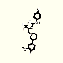 COc1cc(C2CCCN(C[C@H](OC(=O)Nc3ccc(Cl)cc3)C(F)(F)F)C2)ccc1F